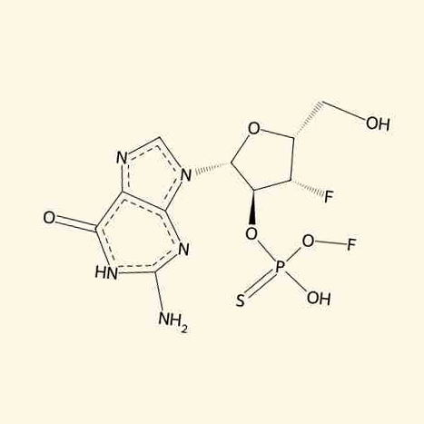 Nc1nc2c(ncn2[C@@H]2O[C@H](CO)[C@H](F)[C@H]2OP(O)(=S)OF)c(=O)[nH]1